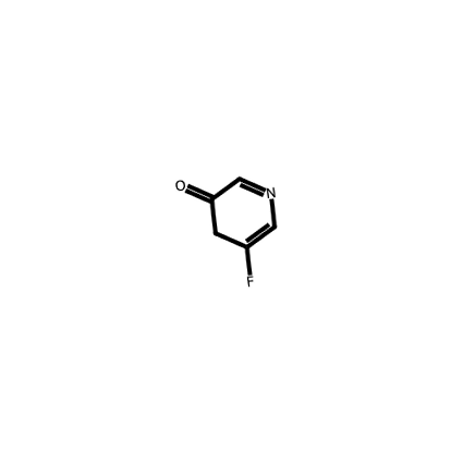 O=C1C=NC=C(F)C1